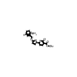 CC(C)(C)OC(=O)c1ccc(-n2ccc(OCC3C[C@@H]4CC[C@]3(N)C4)n2)nc1Cl